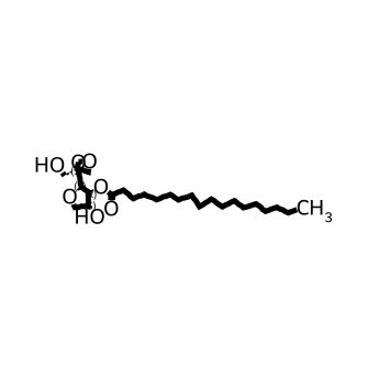 CCCCCCCCCCCCCCCCCC(=O)O[C@@H]1[C@@H](O)CO[C@@H]1[C@]1(CO)COO1